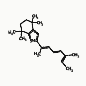 CC=C(C)C=CC=C(C)c1cc2c(s1)C(C)(C)CCC2(C)C